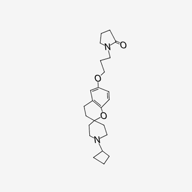 O=C1CCCN1CCCOc1ccc2c(c1)CCC1(CCN(C3CCC3)CC1)O2